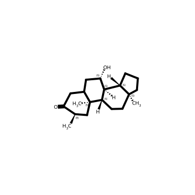 C[C@@H]1C[C@@]2(C)C(CC1=O)C[C@H](O)[C@H]1[C@@H]3CCC[C@@]3(C)CC[C@@H]12